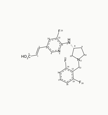 O=C(O)/C=C/c1cnc(N[C@@H]2CCN(Cc3c(F)cccc3F)C2)c(F)c1